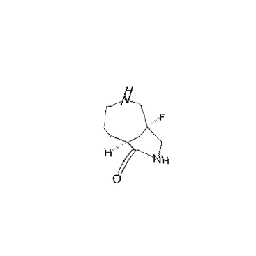 O=C1NC[C@]2(F)CNCC[C@H]12